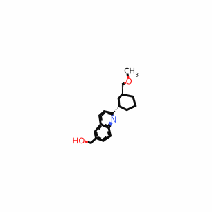 COC[C@H]1CCC[C@H](c2ccc3cc(CO)ccc3n2)C1